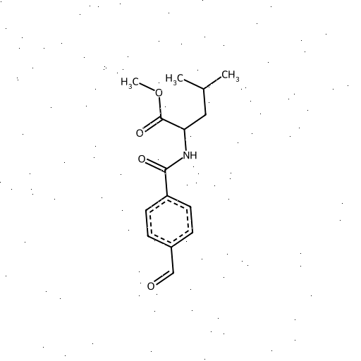 COC(=O)C(CC(C)C)NC(=O)c1ccc(C=O)cc1